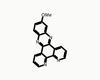 COc1ccc2nc3c4cccnc4c4ncccc4c3nc2c1